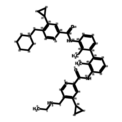 CCNCc1cnc(C(=O)Nc2cccc(-c3cccc(NC(=O)c4cc(C5CC5)c(CN5CCCCC5)cn4)c3C)c2C)cc1C1CC1